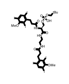 COc1c(I)cc(I)c(CCC(=O)NCCNC(=O)[C@H](COP(=O)(O)OCC(C)(C)C)NC(=O)CCc2c(I)cc(I)c(OC)c2I)c1I